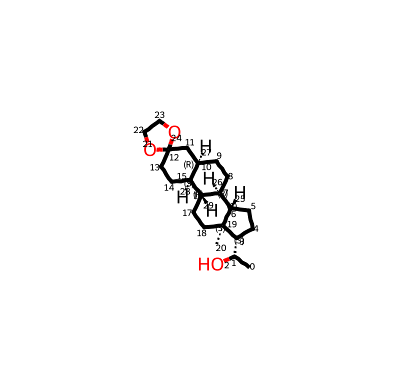 CC(O)[C@H]1CC[C@H]2[C@@H]3CC[C@@H]4CC5(CC[C@@H]4[C@H]3CC[C@]12C)OCCO5